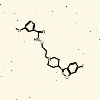 COc1cccc(C(=O)NOCCCN2CCC(c3noc4cc(F)ccc34)CC2)c1